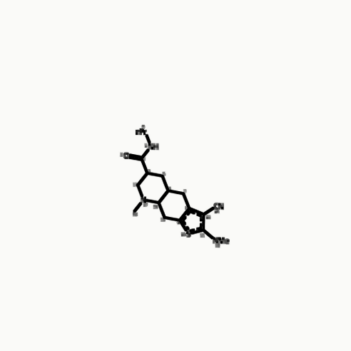 CCCNC(=O)C1CC2Cc3c(sc(NC)c3C#N)CC2N(C)C1